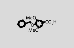 COc1cc(C(=O)O)cc(OC)c1OCc1ccccc1